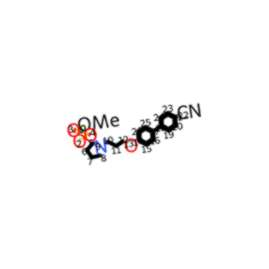 COS(=O)(=O)OC1CCCN1CCCOc1ccc(-c2ccc(C#N)cc2)cc1